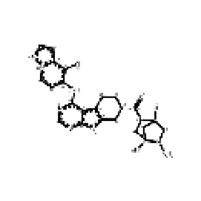 CN1C[C@@H]2C[C@H]1CN2C(=O)[C@H]1CCc2c(sc3ncnc(Nc4ccn5nccc5c4Cl)c23)C1